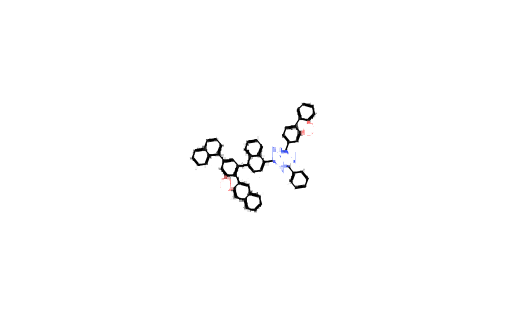 c1ccc(-c2nc(-c3ccc4c(c3)oc3ccccc34)nc(-c3ccc(-c4cc(-c5cccc6ccccc56)cc5oc6cc7ccccc7cc6c45)c4ccccc34)n2)cc1